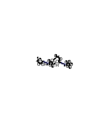 CC[C@H](OC)[C@@H](C)[C@H]1O[C@@H]1[C@H](O)[C@@H](C)/C=C/C=C(\C)[C@@H]1O[C@H](OC)[C@H](OC)[C@@H](OCCC[C@H](OC)[C@@H](C)[C@H]2O[C@@H]2[C@H](O)[C@@H](C)/C=C/C=C(\C)[C@@H]2O[C@@H](OC)[C@H](OC)[C@@H](OC)[C@@H]2OC)[C@@H]1OC